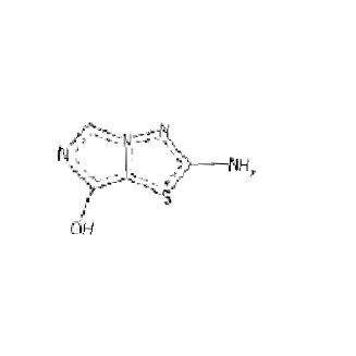 Nc1nn2cnc(O)c2s1